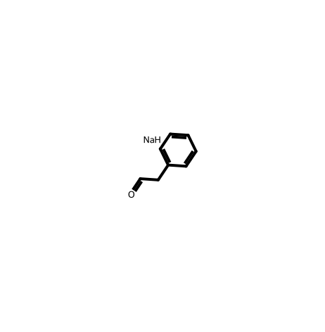 O=CCc1ccccc1.[NaH]